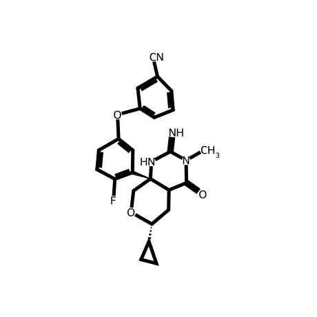 CN1C(=N)N[C@@]2(c3cc(Oc4cccc(C#N)c4)ccc3F)CO[C@@H](C3CC3)CC2C1=O